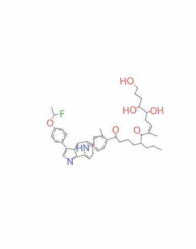 CCCC(CCCC(=O)c1ccc(N/C2=C\C/C=C\C=C3\C(c4ccc(OC(C)F)cc4)=CN=C23)cc1C)C(=O)/C(C)=C\C[C@H](O)[C@@H](O)CCCO